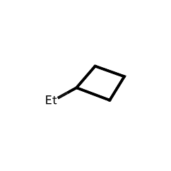 [C]CC1CCC1